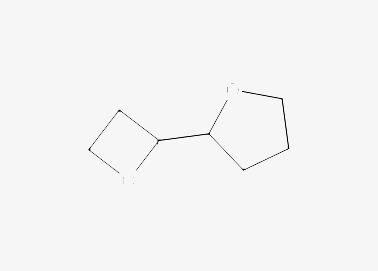 C1COC([C]2CCO2)C1